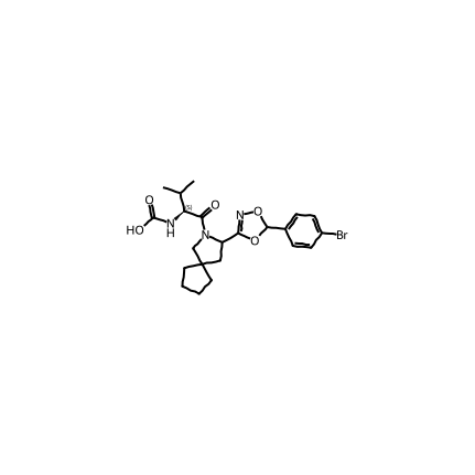 CC(C)[C@H](NC(=O)O)C(=O)N1CC2(CCCC2)CC1C1=NOC(c2ccc(Br)cc2)O1